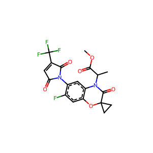 COC(=O)C(C)N1C(=O)C2(CC2)Oc2cc(F)c(N3C(=O)C=C(C(F)(F)F)C3=O)cc21